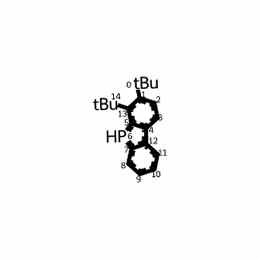 CC(C)(C)c1ccc2c([pH]c3ccccc32)c1C(C)(C)C